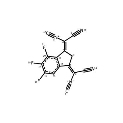 [C-]#[N+]/C(C#N)=C1/C/C(=C(\C#N)[N+]#[C-])c2c1cc(F)c(F)c2F